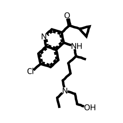 CCN(CCO)CCCC(C)Nc1c(C(=O)C2CC2)cnc2cc(Cl)ccc12